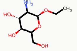 CCO[C@H]1OC(CO)[C@@H](O)[C@H](O)C1N